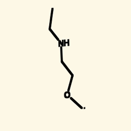 [CH2]OCCNCC